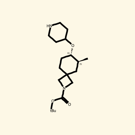 C[C@H]1CC2(CC[C@@H]1OC1CCNCC1)CN(C(=O)OC(C)(C)C)C2